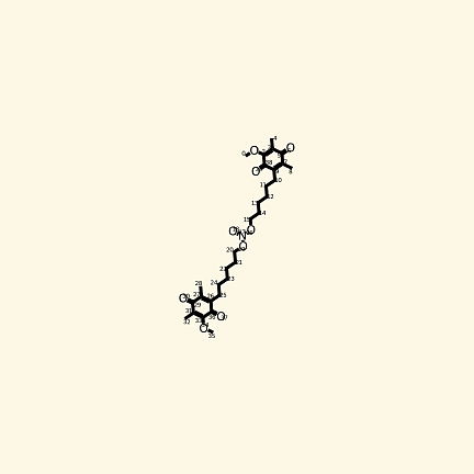 COC1=C(C)C(=O)C(C)=C(CCCCCCO[N+](=O)OCCCCCCC2=C(C)C(=O)C(C)=C(OC)C2=O)C1=O